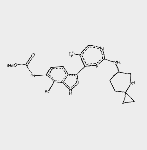 COC(=O)Nc1ccc2c(-c3nc(NC4CCC5(CC5)NC4)ncc3C(F)(F)F)c[nH]c2c1C(C)=O